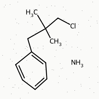 CC(C)(CCl)Cc1ccccc1.N